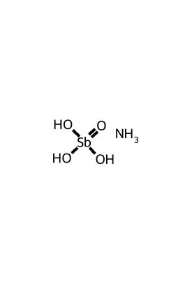 N.[O]=[Sb]([OH])([OH])[OH]